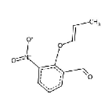 CC=COc1c(C=O)cccc1[N+](=O)[O-]